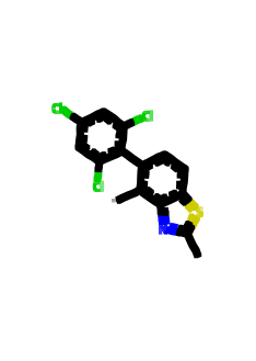 [CH2]c1c(-c2c(Cl)cc(Cl)cc2Cl)ccc2sc(C)nc12